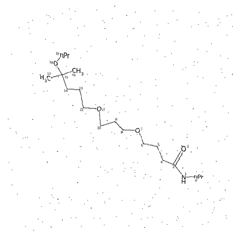 CCCNC(=O)CCCOCCCOCCCC(C)(C)OCCC